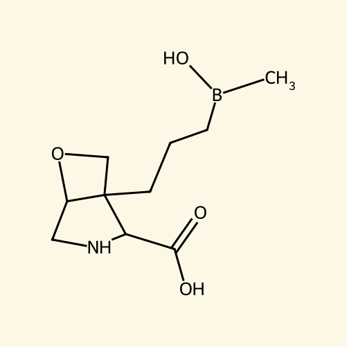 CB(O)CCCC12COC1CNC2C(=O)O